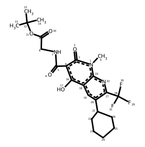 Cn1c(=O)c(C(=O)NCC(=O)OC(C)(C)C)c(O)c2cc(C3CCCCC3)c(C(F)(F)F)nc21